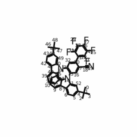 CC(C)(C)c1ccc2c3ccccc3n(-c3cc(C#N)c(-c4c(F)c(F)c(F)c(F)c4F)cc3-n3c4ccccc4c4ccc(C(C)(C)C)cc43)c2c1